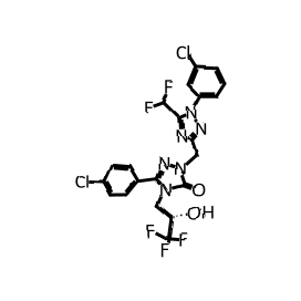 O=c1n(Cc2nc(C(F)F)n(-c3cccc(Cl)c3)n2)nc(-c2ccc(Cl)cc2)n1C[C@H](O)C(F)(F)F